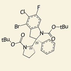 CC(C)(C)OC(=O)N1CCC[C@H]1[C@@]1(c2ccccc2)Cc2c(cc(F)c(Cl)c2Br)N1C(=O)OC(C)(C)C